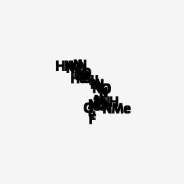 CNC(C)C(=O)N[C@H](C(=O)N1CCCC1c1nc(C(=O)c2ccc(F)cc2)cs1)C1CCN(C(=O)c2cnc(N3CCC(CCCOc4cc5ncnc(Nc6n[nH]c(C)c6C)c5cc4S(=O)(=O)C(C)(C)C)CC3)nc2)CC1